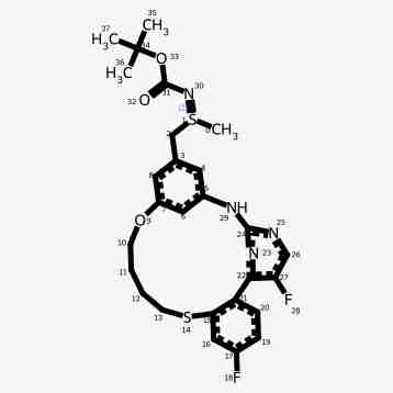 C/S(Cc1cc2cc(c1)OCCCCSc1cc(F)ccc1-c1nc(ncc1F)N2)=N/C(=O)OC(C)(C)C